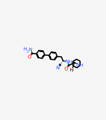 N#C[C@H](Cc1ccc(-c2ccc(C(N)=O)cc2)cc1)NC(=O)[C@H]1NC2CCC1CC2